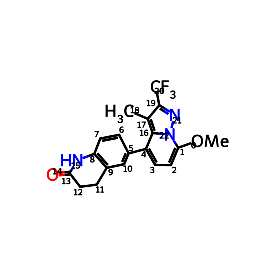 COc1ccc(-c2ccc3c(c2)CCC(=O)N3)c2c(C)c(C(F)(F)F)nn12